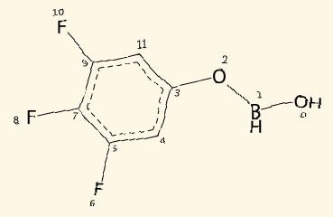 OBOc1cc(F)c(F)c(F)c1